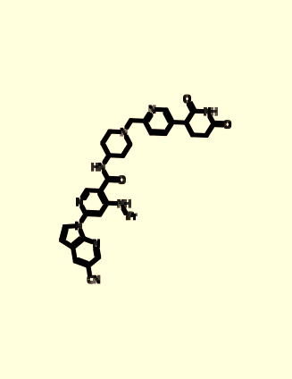 CC(C)Nc1cc(-n2ccc3cc(C#N)cnc32)ncc1C(=O)NC1CCN(Cc2ccc(C3CCC(=O)NC3=O)cn2)CC1